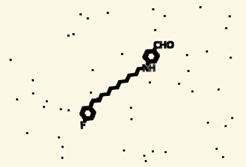 O=Cc1ccc(NCCCCCCCCCC=Cc2ccc(F)cc2)cc1